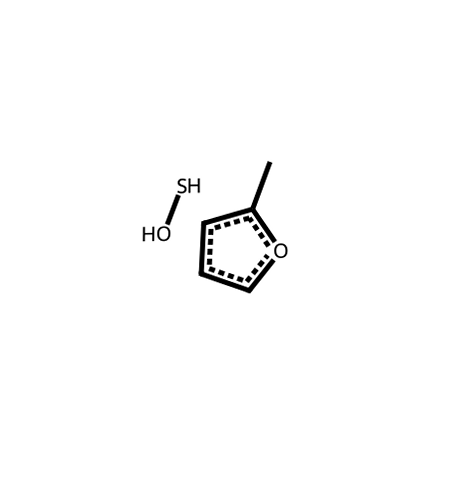 Cc1ccco1.OS